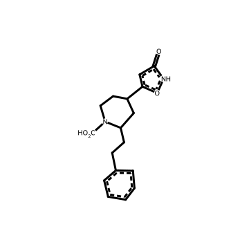 O=C(O)N1CCC(c2cc(=O)[nH]o2)CC1CCc1ccccc1